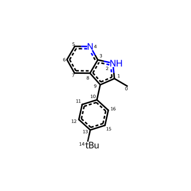 Cc1[nH]c2ncccc2c1-c1ccc(C(C)(C)C)cc1